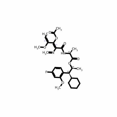 C=N/C(C(=O)N[C@@H](C)C(=O)O[C@@H](C)[C@H](c1ccc(F)cc1OC)C1CCCCC1)=C(OC(C)=O)\C(=C/C)OC